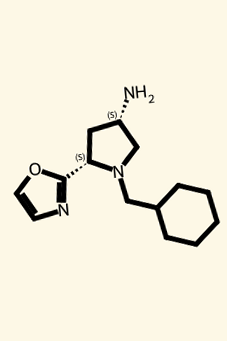 N[C@H]1C[C@@H](c2ncco2)N(CC2CCCCC2)C1